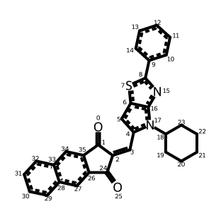 O=C1C(=Cc2cc3sc(-c4ccccc4)nc3n2C2CCCCC2)C(=O)c2cc3ccccc3cc21